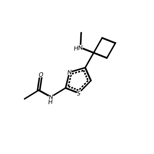 CNC1(c2csc(NC(C)=O)n2)CCC1